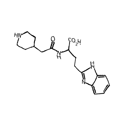 O=C(CC1CCNCC1)NC(CCc1nc2ccccc2[nH]1)C(=O)O